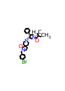 CCC(CC)C(=O)N1C[C@H](CN2CCC3(CC2)CCN(Cc2ccc(Br)cc2)C3=O)[C@@H](c2ccccc2)C1